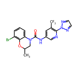 CC1CN(C(=O)Nc2cnc(-n3nccn3)c(C(F)(F)F)c2)c2cccc(Br)c2O1